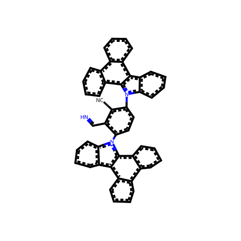 N#Cc1c(-n2c3ccccc3c3c4ccccc4c4ccccc4c32)ccc(-n2c3ccccc3c3c4ccccc4c4ccccc4c32)c1C=N